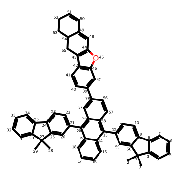 CC1(C)c2ccccc2-c2ccc(-c3c4ccccc4c(-c4ccc5c(c4)C(C)(C)c4ccccc4-5)c4cc(-c5ccc6c7c(oc6c5)C=C5C=CCCC5C7)ccc34)cc21